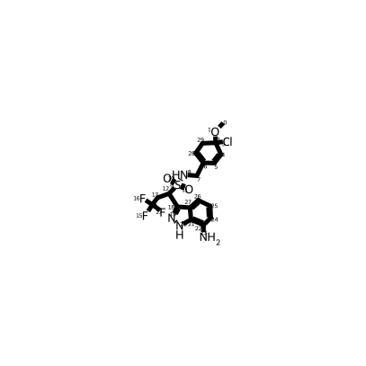 COC1(Cl)C=CC(CNS(=O)(=O)C(CC(F)(F)F)c2n[nH]c3c(N)cccc23)=CC1